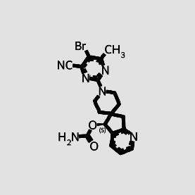 Cc1nc(N2CCC3(CC2)Cc2ncccc2[C@H]3OC(N)=O)nc(C#N)c1Br